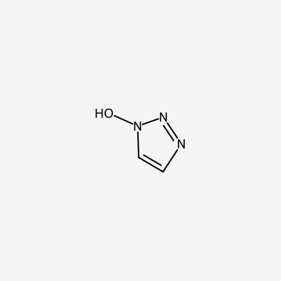 On1ccnn1